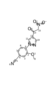 COc1cc(C#N)ccc1-n1cc(C(=O)C[N+](=O)[O-])cn1